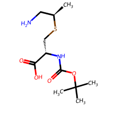 C[C@H](CN)SC[C@H](NC(=O)OC(C)(C)C)C(=O)O